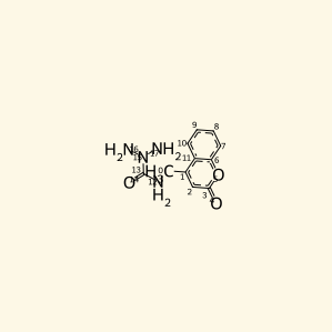 Cc1cc(=O)oc2ccccc12.NC(=O)N(N)N